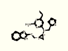 Nc1nc(CI)cc(N(Cc2cccs2)[C@H]2C[C@H]2COc2nc3ccccc3[nH]2)n1